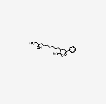 O=C(CC(CCCCCCCC(O)CO)C(=O)O)c1ccccc1